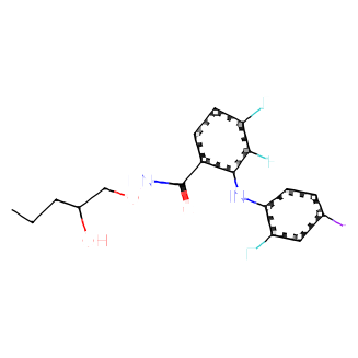 CCCC(O)CONC(=O)c1ccc(F)c(F)c1Nc1ccc(I)cc1F